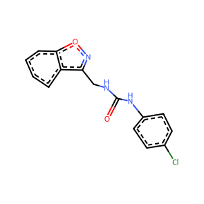 O=C(NCc1noc2ccccc12)Nc1ccc(Cl)cc1